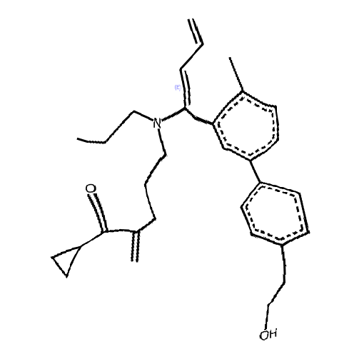 C=C/C=C(\c1cc(-c2ccc(CCO)cc2)ccc1C)N(CCC)CCCC(=C)C(=O)C1CC1